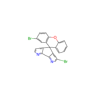 Brc1ccc2c(c1)C1(c3ccccc3O2)c2cccnc2-c2ncc(Br)cc21